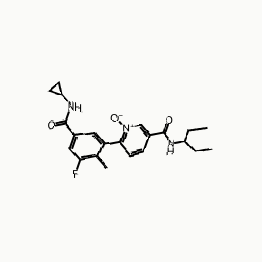 CCC(CC)NC(=O)c1ccc(-c2cc(C(=O)NC3CC3)cc(F)c2C)[n+]([O-])c1